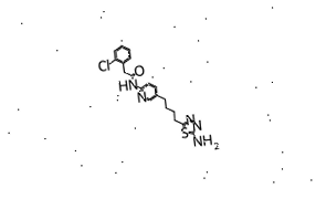 Nc1nnc(CCCCc2ccc(NC(=O)Cc3ccccc3Cl)nc2)s1